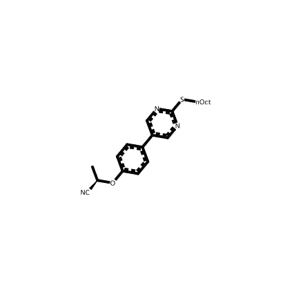 CCCCCCCCSc1ncc(-c2ccc(O[C@H](C)C#N)cc2)cn1